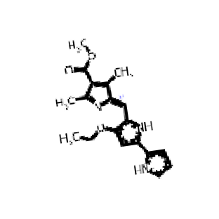 CCOc1cc(-c2ccc[nH]2)[nH]c1/C=C1\N=C(C)C(C(=O)OC)=C1C